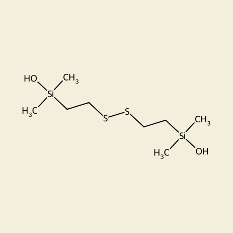 C[Si](C)(O)CCSSCC[Si](C)(C)O